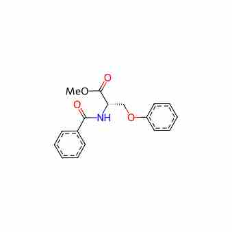 COC(=O)[C@H](COc1ccccc1)NC(=O)c1ccccc1